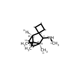 CNC1C2(CCC2)[C@@H]2CC[C@@]1(C)C2(C)C